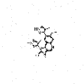 CCc1cc2ncc3c(c2cc1-c1n[nH]cc1C)n(-c1cn(C)nc1C)c(=O)n3C